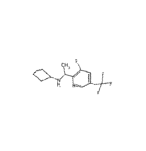 CC(NC1CCC1)c1ncc(C(F)(F)F)cc1F